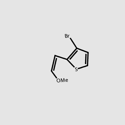 CO/C=C\c1sccc1Br